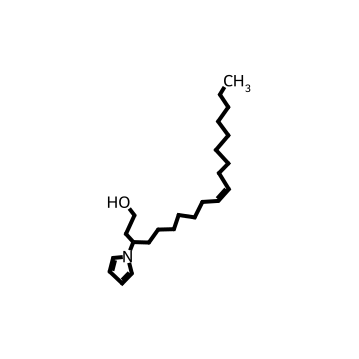 CCCCCCCC/C=C\CCCCCCC(CCO)n1cccc1